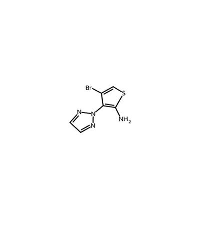 Nc1scc(Br)c1-n1nccn1